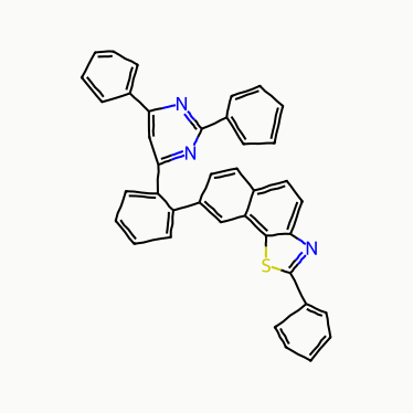 c1ccc(-c2cc(-c3ccccc3-c3ccc4ccc5nc(-c6ccccc6)sc5c4c3)nc(-c3ccccc3)n2)cc1